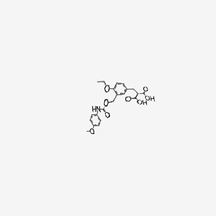 CCOc1ccc(CC(C(=O)O)C(=O)O)cc1COC(=O)Nc1ccc(OC)cc1